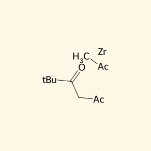 CC(=O)CC(=O)C(C)(C)C.CC(C)=O.[Zr]